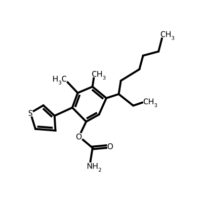 CCCCCC(CC)c1cc(OC(N)=O)c(-c2ccsc2)c(C)c1C